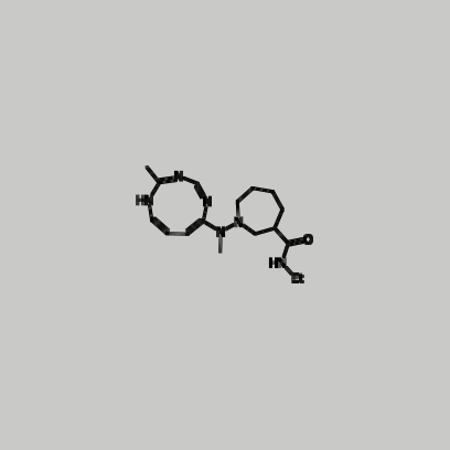 CCNC(=O)C1CCCCN(N(C)c2ccc[nH]c(C)ncn2)C1